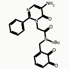 CCCCN(CC1=CC=CC(=O)C1=O)C(=O)Cn1c(-c2ccccc2)ncc(N)c1=O